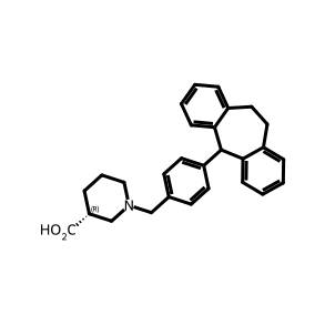 O=C(O)[C@@H]1CCCN(Cc2ccc(C3c4ccccc4CCc4ccccc43)cc2)C1